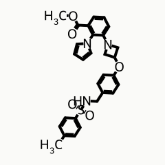 COC(=O)c1cccc(N2CC(Oc3ccc(CNS(=O)(=O)c4ccc(C)cc4)cc3)C2)c1-n1cccc1